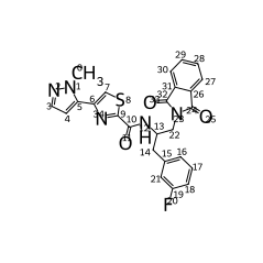 Cn1nccc1-c1csc(C(=O)NC(Cc2cccc(F)c2)CN2C(=O)c3ccccc3C2=O)n1